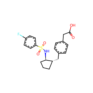 O=C(O)Cc1ccc(C[C@@H]2CCC[C@H]2NS(=O)(=O)c2ccc(F)cc2)cc1